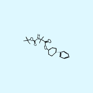 CC(C)(C)OC(=O)NC(C)(C)C(=O)O[C@H]1CC[C@H](c2ccccc2)CC1